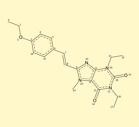 CCOc1ccc(C=Cc2nc3c(c(=O)n(CC)c(=O)n3CC)n2C)cc1